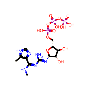 CN/C(=N/C(N)=N/[C@@H]1O[C@H](COP(=O)(O)OP(=O)(O)OP(=O)(O)O)C(O)[C@@H]1O)c1nc[nH]c1C